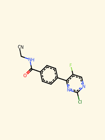 N#CCNC(=O)c1ccc(-c2nc(Cl)ncc2F)cc1